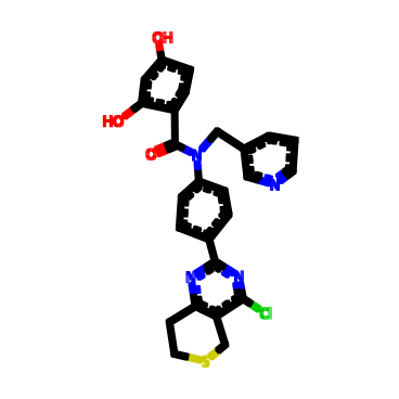 O=C(c1ccc(O)cc1O)N(Cc1cccnc1)c1ccc(-c2nc(Cl)c3c(n2)CCSC3)cc1